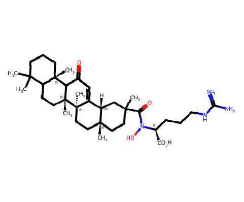 CC1(C(=O)N(O)[C@@H](CCCNC(=N)N)C(=O)O)CC[C@]2(C)CC[C@]3(C)C(=CC(=O)C4[C@@]5(C)CCCC(C)(C)C5CC[C@]43C)[C@@H]2C1